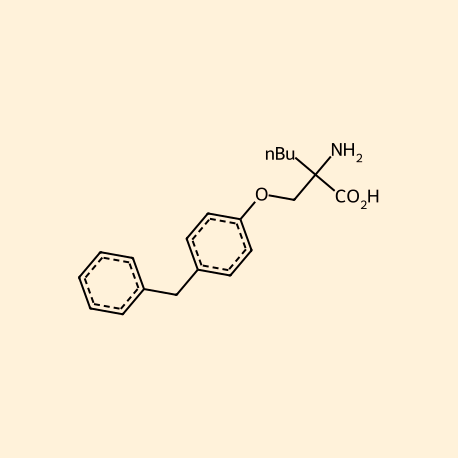 CCCCC(N)(COc1ccc(Cc2ccccc2)cc1)C(=O)O